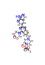 CS(=O)(=O)N1CCN(Cc2cc3c(N4CCOCC4)nc(-c4cnc5[nH]ncc5c4)nc3s2)CC1